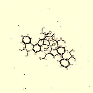 CCCC1=Cc2c(-c3ccccc3C(C)CC)cccc2[CH]1[Hf]([Cl])([Cl])([B](NC(=O)CC)NC(=O)CC)[CH]1C(CCC)=Cc2c(-c3ccccc3C(C)CC)cccc21